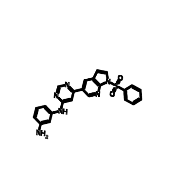 Nc1cccc(Nc2cc(-c3cnc4c(ccn4S(=O)(=O)c4ccccc4)c3)ncn2)c1